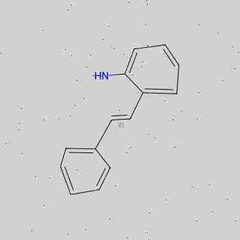 [NH]c1ccccc1/C=C/c1ccccc1